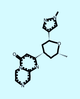 C[C@@H]1C[C@H](c2cc(=O)n3ccncc3n2)C[C@H](c2cnn(C)c2)O1